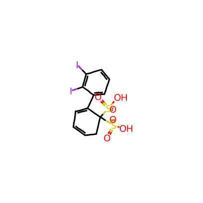 O=S(=O)(O)C1(S(=O)(=O)O)CC=CC=C1c1cccc(I)c1I